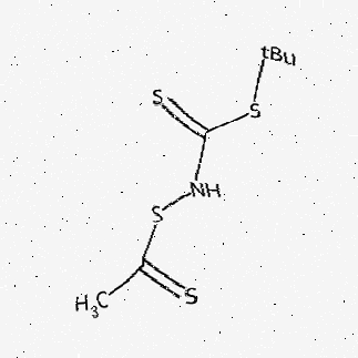 CC(=S)SNC(=S)SC(C)(C)C